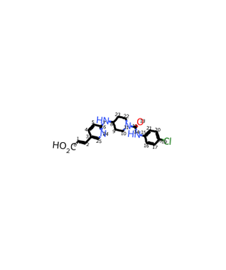 O=C(O)C=Cc1ccc(NC2CCN(C(=O)Nc3ccc(Cl)cc3)CC2)nc1